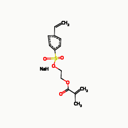 C=Cc1ccc(S(=O)(=O)OCCOC(=O)C(=C)C)cc1.[NaH]